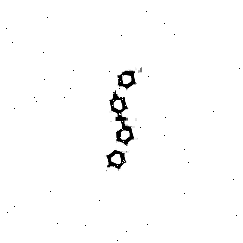 CC(C)(C)C(c1ccc(Oc2ccc(N)cc2)cc1)(c1ccc(Oc2ccc(N)cc2)cc1)C(C)(C)C